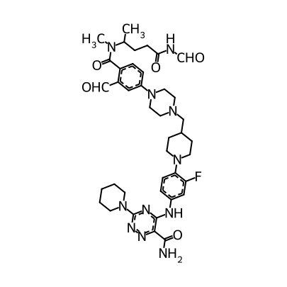 CC(CCC(=O)NC=O)N(C)C(=O)c1ccc(N2CCN(CC3CCN(c4ccc(Nc5nc(N6CCCCC6)nnc5C(N)=O)cc4F)CC3)CC2)cc1C=O